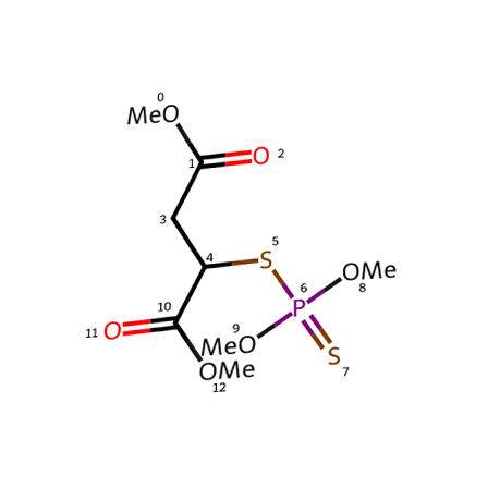 COC(=O)CC(SP(=S)(OC)OC)C(=O)OC